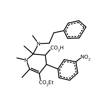 CCOC(=O)C1=C(C)N(C)C(C)(N(C)CCc2ccccc2)C(C(=O)O)C1c1cccc([N+](=O)[O-])c1